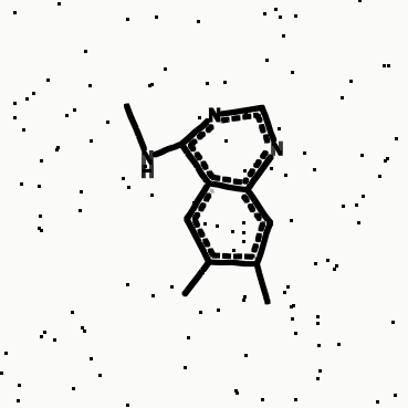 CNc1ncnc2cc(C)c(C)cc12